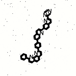 c1ccc(-c2ccc3ccc4ccc(-c5ccc(-c6ccc7ccc(-c8ccc9ccc(-c%10cnccn%10)nc9c8)nc7c6)cc5)nc4c3n2)cc1